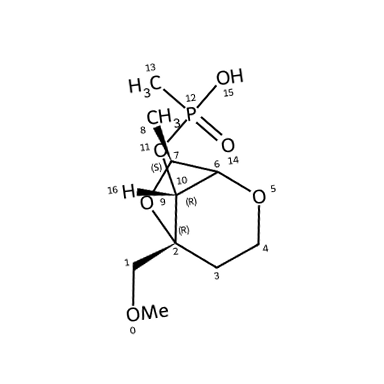 COC[C@@]12CCOC([C@H](C)O1)[C@H]2OP(C)(=O)O